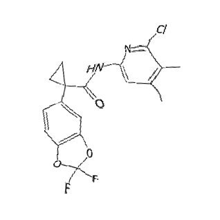 Cc1cc(NC(=O)C2(c3ccc4c(c3)OC(F)(F)O4)CC2)nc(Cl)c1C